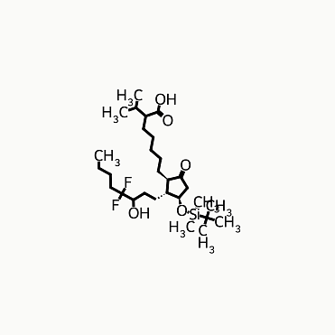 CCCCC(F)(F)C(O)CC[C@H]1[C@H](O[Si](C)(C)C(C)(C)C)CC(=O)[C@@H]1CCCCCC(C(=O)O)C(C)C